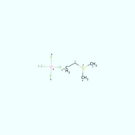 CC[S+](C)C.F[B-](F)(F)F